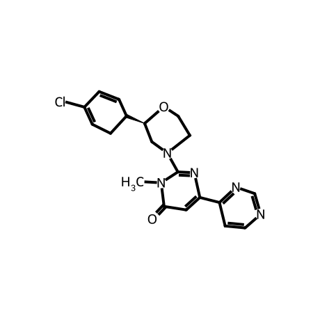 Cn1c(N2CCO[C@H](C3C=CC(Cl)=CC3)C2)nc(-c2ccncn2)cc1=O